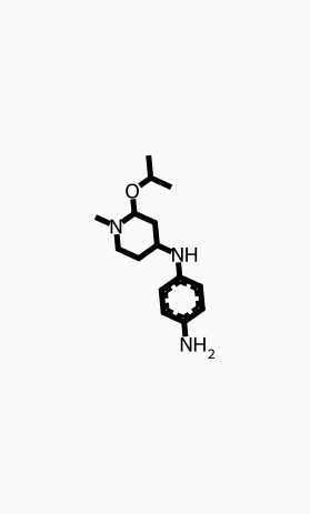 CC(C)OC1CC(Nc2ccc(N)cc2)CCN1C